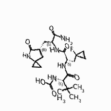 CC(C)(C)[C@H](NC(=O)O)C(=O)N[C@@H](CC1(F)CC1)C(=O)N[C@@H](C[C@@H]1CC2(CC2)NC1=O)C(N)=O